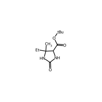 CCC1(C)NC(=O)NC1C(=O)OC(C)(C)C